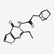 CCc1nc2sccc2c(=O)n1NC(=O)CC1CC2CCC1C2